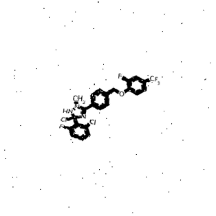 CN1NC(Cl)(c2c(F)cccc2Cl)N=C1c1ccc(COc2ccc(C(F)(F)F)cc2F)cc1